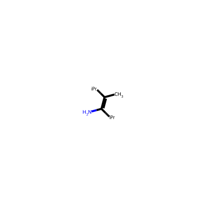 CC(=C(N)C(C)C)C(C)C